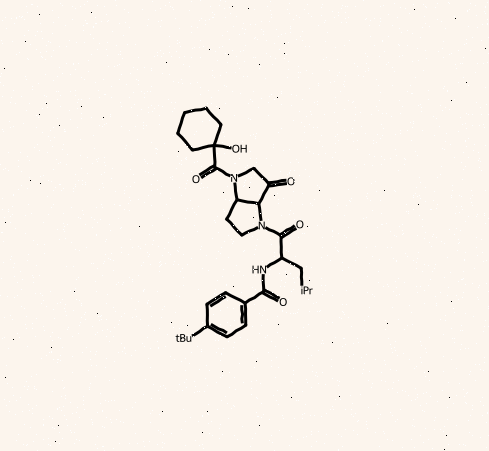 CC(C)CC(NC(=O)c1ccc(C(C)(C)C)cc1)C(=O)N1CCC2C1C(=O)CN2C(=O)C1(O)CCCCC1